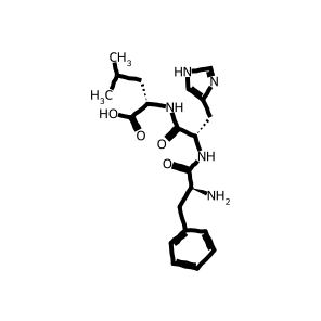 CC(C)C[C@H](NC(=O)[C@H](Cc1c[nH]cn1)NC(=O)[C@@H](N)Cc1ccccc1)C(=O)O